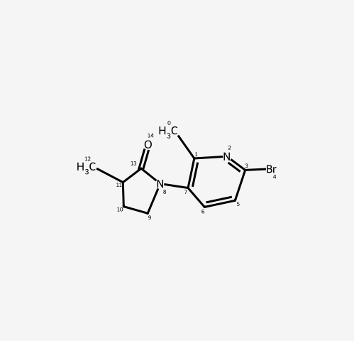 Cc1nc(Br)ccc1N1CCC(C)C1=O